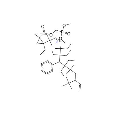 C=CC(CC(C)(C)C(CC)(CC)C(c1ccccc1)C(CC)(CC)C(C)(/C=C\C(C)(CC)C1(CC)CC1(C)C(=O)OCP(=O)(OC)OC)CC)C(C)(C)C